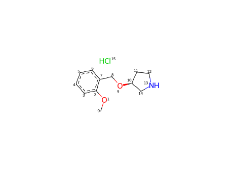 COc1ccccc1CO[C@H]1CCNC1.Cl